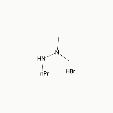 Br.CCCNN(C)C